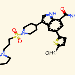 NC(=O)c1cc(-c2ccc(C=O)s2)cc2c(C3CCN(S(=O)(=O)CCCN4CCCC4)CC3)c[nH]c12